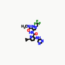 CNC(=O)c1nn(CC(F)(F)F)cc1NC(=O)c1nc(C2CC2)ccc1Nc1cncnc1